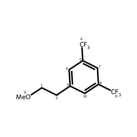 COC[CH]c1cc(C(F)(F)F)cc(C(F)(F)F)c1